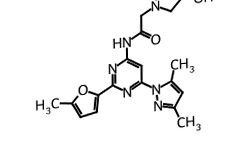 Cc1cc(C)n(-c2cc(NC(=O)CN3CCC(O)C3)nc(-c3ccc(C)o3)n2)n1